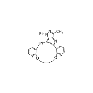 CCn1nc(C)c2nc3cc(c21)NCc1cccnc1OCCCCOc1ncccc1-3